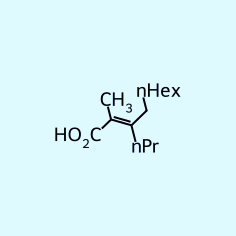 CCCCCCCC(CCC)=C(C)C(=O)O